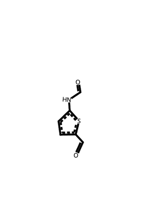 O=CNc1ccc(C=O)s1